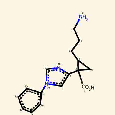 NCCCC1CC1(C(=O)O)c1cn(-c2ccccc2)cn1